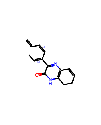 C=C/C=C\C(=C/C)c1nc2c([nH]c1=O)CCC=C2